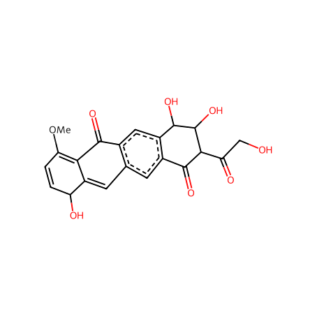 COC1=C2C(=O)c3cc4c(cc3C=C2C(O)C=C1)C(=O)C(C(=O)CO)C(O)C4O